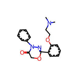 CN(C)CCOc1ccccc1C1=NN(c2ccccc2)C(=O)CO1